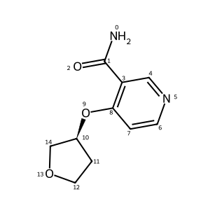 NC(=O)c1cnccc1O[C@H]1CCOC1